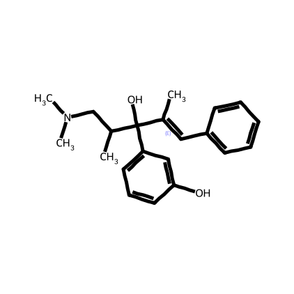 C/C(=C\c1ccccc1)C(O)(c1cccc(O)c1)C(C)CN(C)C